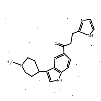 CN1CCC(c2c[nH]c3ccc(C(=O)CCc4ncc[nH]4)cc23)CC1